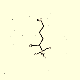 CCCCC(Cl)[PH](Cl)(Cl)Cl